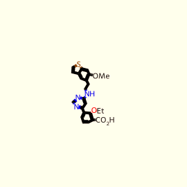 CCOc1c(C(=O)O)cccc1-c1cc(NCCc2cc3ccsc3cc2OC)ncn1